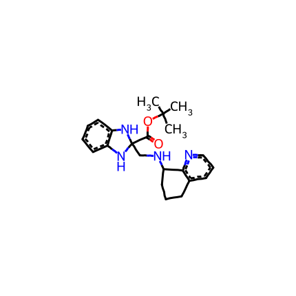 CC(C)(C)OC(=O)C1(CNC2CCCc3cccnc32)Nc2ccccc2N1